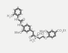 CCOC(=O)c1ccc(OCC[N+](C)(C=O)C(=O)Cc2ccc(NC(=O)Nc3ccccc3C)c(OC)c2)c(OC)c1